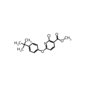 COC(=O)c1ccc(Oc2ccc(C(C)(C)C)cc2)nc1Cl